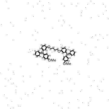 COc1ccc(N(c2ccccc2)c2cccc(OCCCCOc3cccc(N(c4ccccc4)c4ccc(OC)cc4)c3)c2)cc1